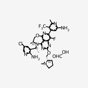 Cc1nc(N)cc(-c2nc3c4c(nc(OC[C@@H]5CCCN5C)nc4c2F)N([C@H](C)c2cc(Cl)cnc2N)[C@@H](C)CO3)c1C(F)(F)F.O=CO